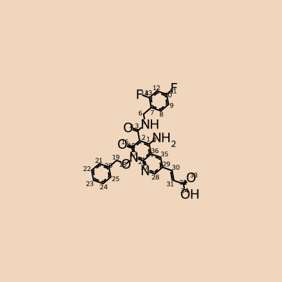 Nc1c(C(=O)NCc2ccc(F)cc2F)c(=O)n(OCc2ccccc2)c2ncc(/C=C/C(=O)O)cc12